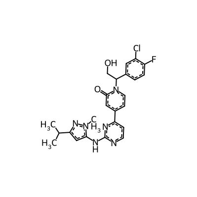 CC(C)c1cc(Nc2nccc(-c3ccn(C(CO)c4ccc(F)c(Cl)c4)c(=O)c3)n2)n(C)n1